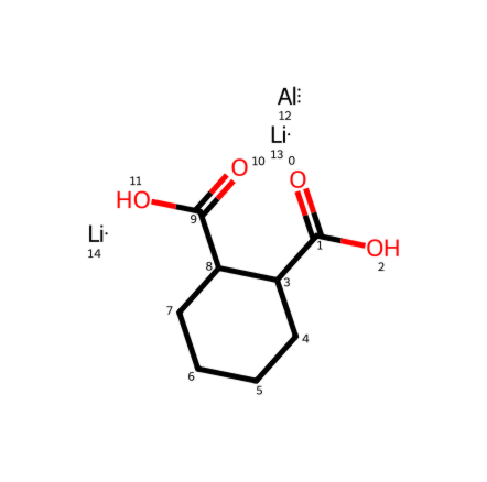 O=C(O)C1CCCCC1C(=O)O.[Al].[Li].[Li]